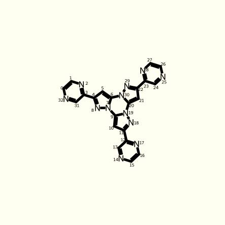 c1cnc(-c2cc3n(n2)c2cc(-c4cnccn4)nn2c2cc(-c4cnccn4)nn32)cn1